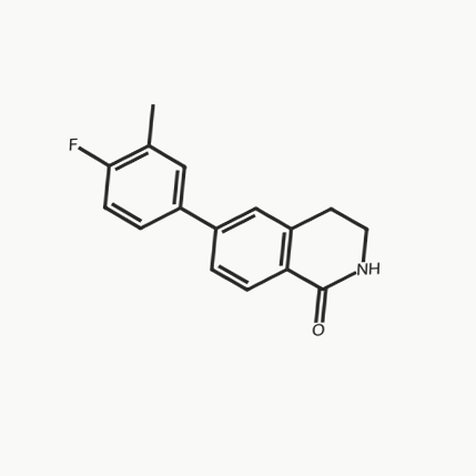 Cc1cc(-c2ccc3c(c2)CCNC3=O)ccc1F